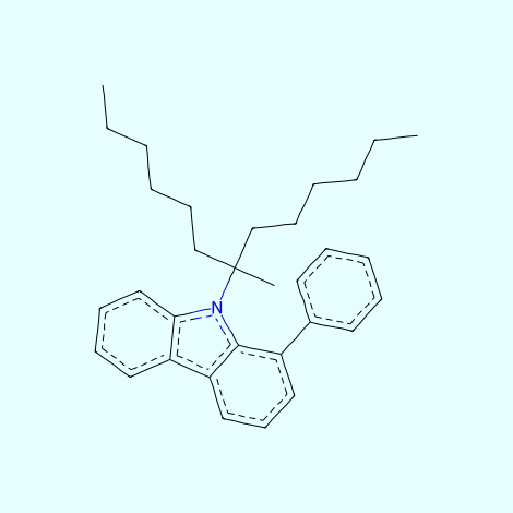 CCCCCCC(C)(CCCCCC)n1c2ccccc2c2cccc(-c3ccccc3)c21